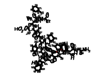 CCC(=O)N[C@@H](Cc1ccccc1)C(=O)N[C@H](C(=O)N[C@@H](CCC(=O)O)C(=O)N(C)CC(=O)N[C@@H](Cc1ccc(O)cc1)C(=O)N(C)[C@@H](Cc1ccccc1)C(=O)N(C)CC(=O)N[C@@H](Cc1c[nH]c2ccccc12)C(=O)N[C@H](C(=O)N(C)[C@@H](Cc1ccccc1)C(=O)N1CCC[C@H]1C(=O)N[C@@H](CS)C(=O)NCC(N)=O)[C@@H](C)O)C(C)C